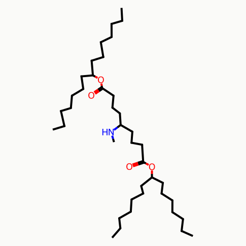 CCCCCCCC(CCCCCCC)OC(=O)CCCC(CCCC(=O)OC(CCCCCCC)CCCCCCC)NC